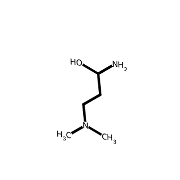 CN(C)CCC(N)O